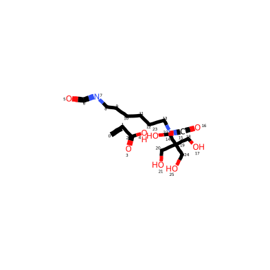 C=CC(=O)O.O=C=NCCCCCCN=C=O.OCC(CO)(CO)CO